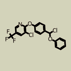 FC(F)(F)c1cnc(Oc2ccc(C(Cl)Oc3ccccc3)cc2)c(Cl)c1